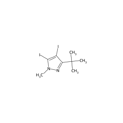 Cn1nc(C(C)(C)C)c(I)c1I